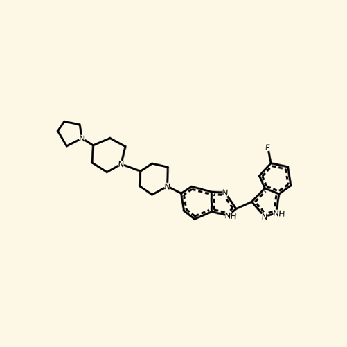 Fc1ccc2[nH]nc(-c3nc4cc(N5CCC(N6CCC(N7CCCC7)CC6)CC5)ccc4[nH]3)c2c1